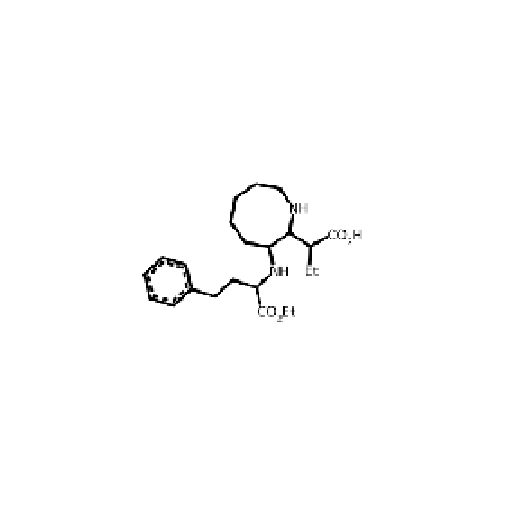 CCOC(=O)C(CCc1ccccc1)NC1CCCCCNC1C(CC)C(=O)O